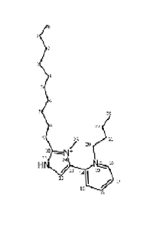 CCCCCCCCCCc1[nH]cc(-c2cccc[n+]2CCCC)[n+]1C